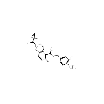 Cc1ccc2c(c1C(=O)NCc1ccc(C(F)(F)F)c(F)c1)CCN(C(=O)C1(C)CC1)C2